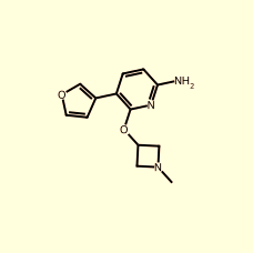 CN1CC(Oc2nc(N)ccc2-c2ccoc2)C1